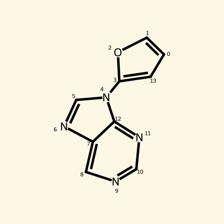 c1coc(-n2cnc3cncnc32)c1